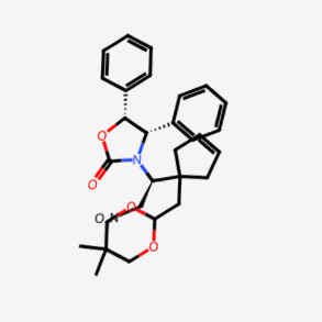 CC1(C)COC(CC2([C@@H](C[N+](=O)[O-])N3C(=O)O[C@H](c4ccccc4)[C@@H]3c3ccccc3)CC=CC2)OC1